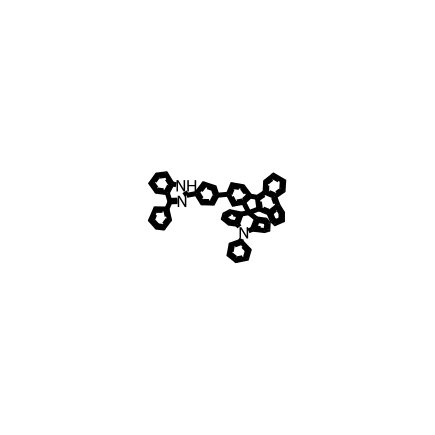 c1ccc(C2=NC(c3ccc(-c4ccc5c(c4)C4(c6ccccc6N(c6ccccc6)c6ccccc64)c4c-5c5ccccc5c5ccccc45)cc3)Nc3ccccc32)cc1